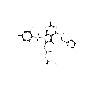 Cc1cc(C)c(S(=O)(=O)n2c(CC(C)NC(=O)OC(C)(C)C)c(F)c3c(N(Cc4ccco4)C(=O)O)nc(Cl)nc32)c(C)c1